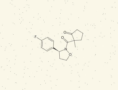 CC1(C(=O)N2OCC[C@H]2c2ccc(F)cc2)CCCC1=O